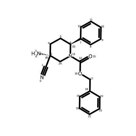 N#C[C@@]1(N)CC[C@@H](c2ccccc2)N(C(=O)OCc2ccccc2)C1